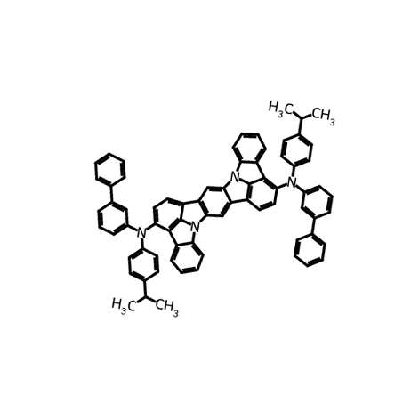 CC(C)c1ccc(N(c2cccc(-c3ccccc3)c2)c2ccc3c4cc5c(cc4n4c6ccccc6c2c34)c2ccc(N(c3ccc(C(C)C)cc3)c3cccc(-c4ccccc4)c3)c3c4ccccc4n5c23)cc1